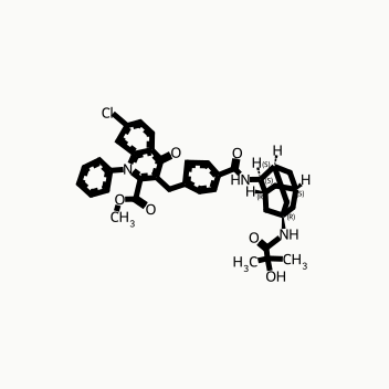 COC(=O)c1c(Cc2ccc(C(=O)N[C@@H]3[C@@H]4C[C@@H]5C[C@H]3C[C@](NC(=O)C(C)(C)O)(C5)C4)cc2)c(=O)c2ccc(Cl)cc2n1-c1ccccc1